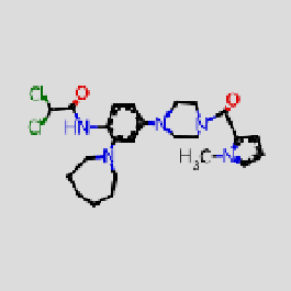 Cn1cccc1C(=O)N1CCN(c2ccc(NC(=O)C(Cl)Cl)c(N3CCCCCC3)c2)CC1